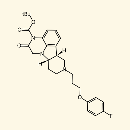 CC(C)(C)OC(=O)N1C(=O)CN2c3c(cccc31)[C@@H]1CN(CCCOc3ccc(F)cc3)CC[C@@H]12